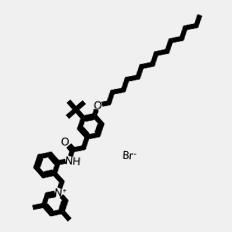 CCCCCCCCCCCCCCOc1ccc(CC(=O)Nc2ccccc2C[n+]2cc(C)cc(C)c2)cc1C(C)(C)C.[Br-]